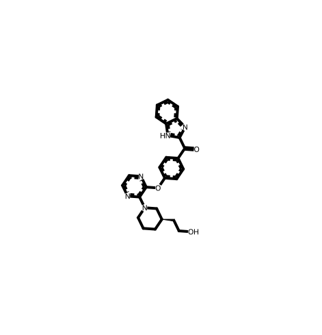 O=C(c1ccc(Oc2nccnc2N2CCC[C@H](CCO)C2)cc1)c1nc2ccccc2[nH]1